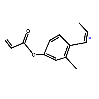 C=CC(=O)Oc1ccc(/C=C\C)c(C)c1